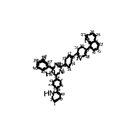 C1=CCNC(c2ccc(C3=NC(c4ccc(C5=NC=C(c6cccc7cccnc67)CC5)cc4)=NC(c4ccccc4)N3)cc2)=C1